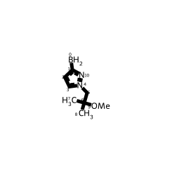 Bc1ccn(CC(C)(C)OC)n1